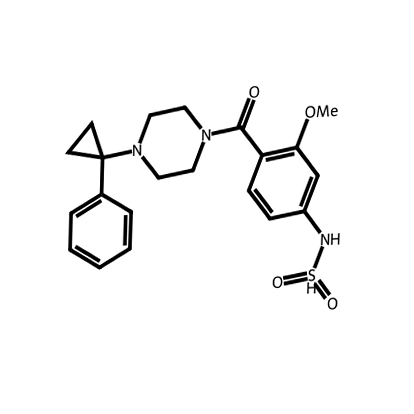 COc1cc(N[SH](=O)=O)ccc1C(=O)N1CCN(C2(c3ccccc3)CC2)CC1